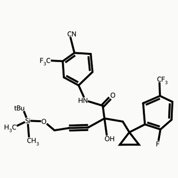 CC(C)(C)[Si](C)(C)OCC#CC(O)(CC1(c2cc(C(F)(F)F)ccc2F)CC1)C(=O)Nc1ccc(C#N)c(C(F)(F)F)c1